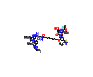 CNC(=O)c1nnc(NC(=O)CNC(=O)CCCCCCCCCCOc2cc(-c3scnc3C)ccc2CNC(=O)[C@@H]2C[C@@H](O)CN2C(=O)[C@@H](NC(=O)C2(F)CC2)C(C)(C)C)cc1Nc1cccc(-c2ncn(C)n2)c1OC